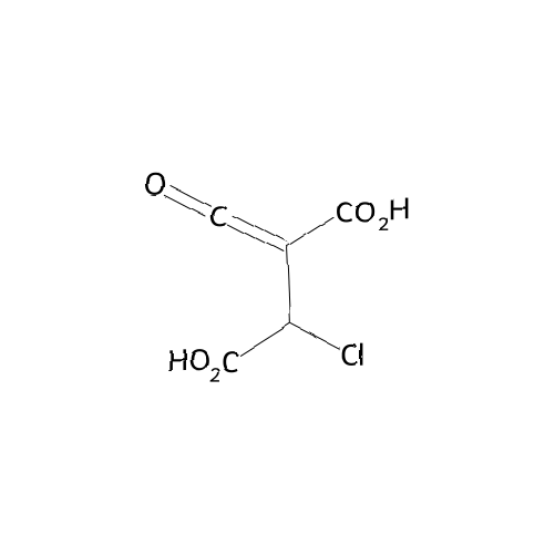 O=C=C(C(=O)O)C(Cl)C(=O)O